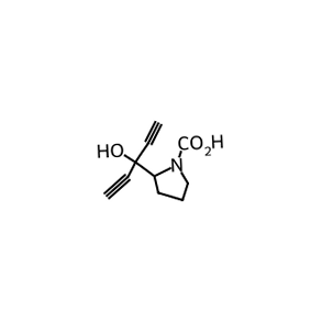 C#CC(O)(C#C)C1CCCN1C(=O)O